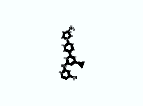 N#Cc1ccnc(Nc2cc(C3CC3)cc(-c3ccc(N4CC[C@@H](N)C4)nc3)n2)c1